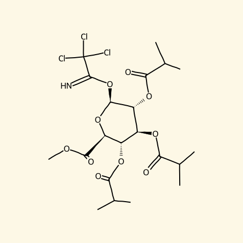 COC(=O)[C@H]1O[C@@H](OC(=N)C(Cl)(Cl)Cl)[C@H](OC(=O)C(C)C)[C@@H](OC(=O)C(C)C)[C@@H]1OC(=O)C(C)C